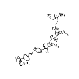 CN(C)c1ccc(/C=C/c2ccc(C(=O)Nc3cc(C(=O)Nc4cc(C(=O)NCCC(=N)N5CCSCC5)n(C)c4)n(C)c3)cn2)cc1